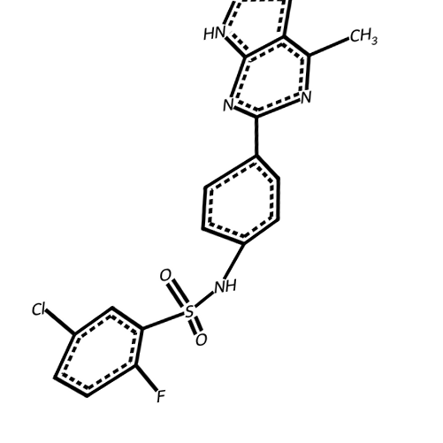 Cc1nc(-c2ccc(NS(=O)(=O)c3cc(Cl)ccc3F)cc2)nc2[nH]ncc12